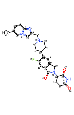 Cc1ccc2nc(CN3CCC(c4cc5c(cc4F)C(=O)N(C4CCC(=O)NC4=O)C5)CC3)cn2c1